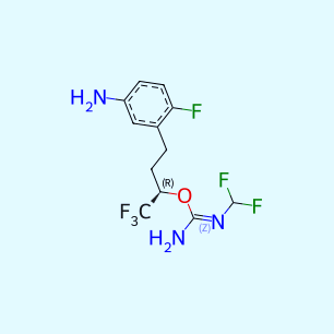 N/C(=N/C(F)F)O[C@H](CCc1cc(N)ccc1F)C(F)(F)F